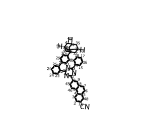 N#Cc1ccc2c(ccc3cc(-c4nc(-c5ccccc5)nc(-c5ccccc5-c5ccc(C67C[C@H]8C[C@H](C6)C[C@@H](C7)C8)cc5)n4)ccc32)c1